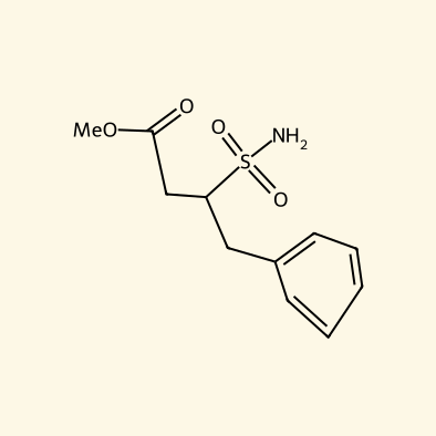 COC(=O)CC(Cc1ccccc1)S(N)(=O)=O